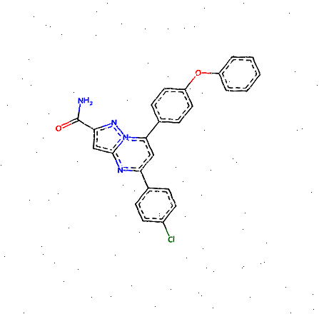 NC(=O)c1cc2nc(-c3ccc(Cl)cc3)cc(-c3ccc(Oc4ccccc4)cc3)n2n1